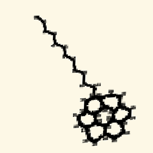 CCCCCCCCCCCSc1cc2ccc3ccc4ccc5ccc6ccc1c1c6c5c4c3c21